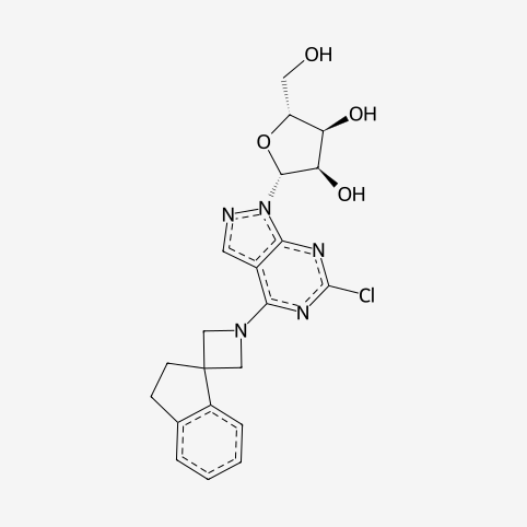 OC[C@H]1O[C@@H](n2ncc3c(N4CC5(CCc6ccccc65)C4)nc(Cl)nc32)[C@H](O)[C@@H]1O